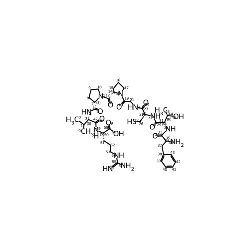 CC(C)[C@H](NC(=O)[C@@H]1CCCN1C(=O)[C@@H]1CCCN1C(=O)CNC(=O)[C@H](CS)NC(=O)[C@@H](NC(=O)[C@@H](N)Cc1ccccc1)[C@@H](C)O)C(=O)N[C@@H](CCCNC(=N)N)C(=O)O